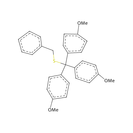 COc1ccc(C(SCc2ccccc2)(c2ccc(OC)cc2)c2ccc(OC)cc2)cc1